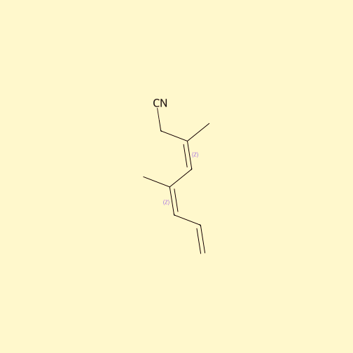 C=C/C=C(C)\C=C(\C)CC#N